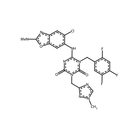 CNc1nc2cc(Cl)c(Nc3nc(=O)n(Cc4ncn(C)n4)c(=O)n3Cc3cc(F)c(F)cc3F)cc2o1